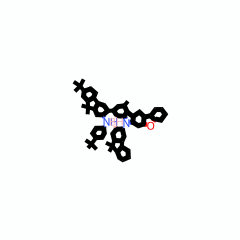 Cc1cc(-c2cc3c(cc2Nc2ccc(C(C)(C)C)cc2)C(C)(C)c2cc(C(C)(C)C)ccc2-3)c2c3c1c1cc4c(cc1n3-c1cc3c(cc1B2)C(C)(C)c1ccccc1-3)oc1ccccc14